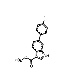 CCCCOC(=O)c1c[nH]c2cc(-c3ccc(F)cc3)ccc12